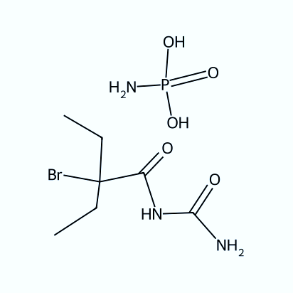 CCC(Br)(CC)C(=O)NC(N)=O.NP(=O)(O)O